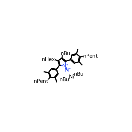 CCCCCCC1=C(c2cc(C)c(CCCCC)c(C)c2)[N+](=[N-])C(c2cc(C)c(CCCCC)c(C)c2)=C1CCCC.CCC[CH2][Ni][CH2]CCC